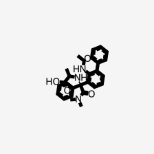 CC(=O)Nc1c(-c2ccccc2)cccc1[C@@](NC(C)C(=O)O)(C(=O)N(C)C)c1ccccc1